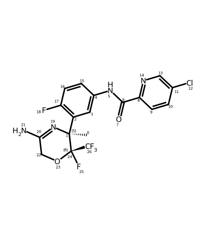 C[C@@]1(c2cc(NC(=O)c3ccc(Cl)cn3)ccc2F)N=C(N)CO[C@]1(F)C(F)(F)F